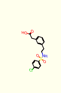 O=C(O)Cc1cccc(CCNS(=O)(=O)c2ccc(Cl)cc2)c1